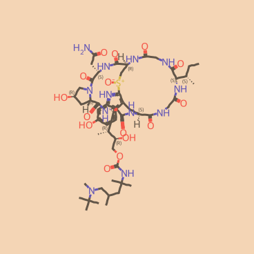 CC[C@H](C)[C@@H]1NC(=O)CNC(=O)[C@@H]2Cc3c([nH]c4cc(O)ccc34)[S+]([O-])C[C@H](NC(=O)CNC1=O)C(=O)N[C@@H](CC(N)=O)C(=O)N1C[C@H](O)C[C@H]1C(=O)N[C@@H]([C@@H](C)[C@@H](O)COC(=O)NC(C)(C)CC(C)CN(C)C(C)(C)C)C(=O)N2